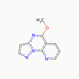 COc1nc2ccnn2c2ncccc12